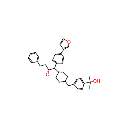 CC(C)(O)c1ccc(CC2CCC(C(C(=O)CCc3ccccc3)c3ccc(-c4ccoc4)cc3)CC2)cc1